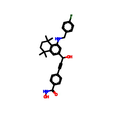 CC1(C)CCC(C)(C)c2c(NCc3ccc(F)cc3)cc(C(O)C#Cc3ccc(C(=O)NO)cc3)cc21